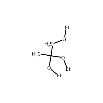 CCO[SiH2]C(C)(OCC)OCC